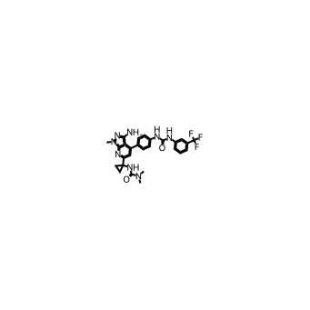 CN(C)C(=O)NC1(c2cc(-c3ccc(NC(=O)Nc4cccc(C(F)(F)F)c4)cc3)c3c(N)nn(C)c3n2)CC1